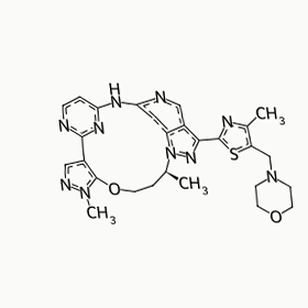 Cc1nc(-c2nn3c4cc(ncc24)Nc2ccnc(n2)-c2cnn(C)c2OCC[C@@H]3C)sc1CN1CCOCC1